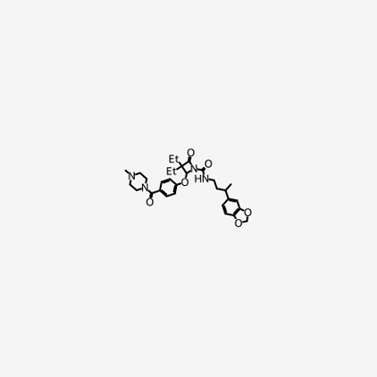 CCC1(CC)C(=O)N(C(=O)NCCC(C)c2ccc3c(c2)OCO3)C1Oc1ccc(C(=O)N2CCN(C)CC2)cc1